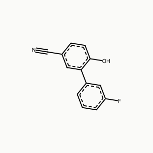 N#Cc1ccc(O)c(-c2cccc(F)c2)c1